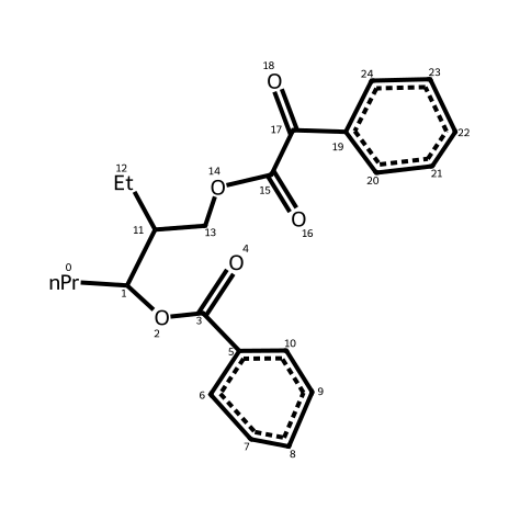 CCCC(OC(=O)c1ccccc1)C(CC)COC(=O)C(=O)c1ccccc1